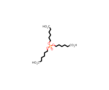 O=C(O)CCCCCOP(=O)(OCCCCCC(=O)O)OCCCCCC(=O)O